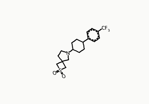 O=S1(=O)CC2(CCN(C3CCC(c4ccc(C(F)(F)F)cc4)CC3)C2)C1